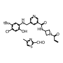 C=CC(=O)N1CC(NC(=O)c2cncc(CNc3cc(C(C)(C)C)c(Cl)cc3O)c2)C1.Cc1csc(C=O)n1